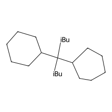 CCC(C)C(C(C)CC)(C1CCCCC1)C1CCCCC1